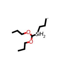 [CH2]CC[SiH2]C(OCCC)OCCC